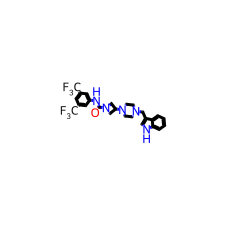 O=C(Nc1cc(C(F)(F)F)cc(C(F)(F)F)c1)N1CC(N2CCN(Cc3c[nH]c4ccccc34)CC2)C1